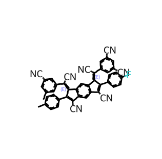 Cc1ccc(C2=C(C#N)c3cc4c(cc3/C2=C(\C#N)c2cc(C)cc(C#N)c2)/C(=C(\C#N)c2cc(C#N)cc(C#N)c2)C(c2ccc(F)cc2)=C4C#N)cc1